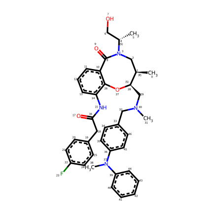 C[C@@H]1CN([C@@H](C)CO)C(=O)c2cccc(NC(=O)Cc3ccc(F)cc3)c2O[C@@H]1CN(C)Cc1ccc(N(C)c2ccccc2)cc1